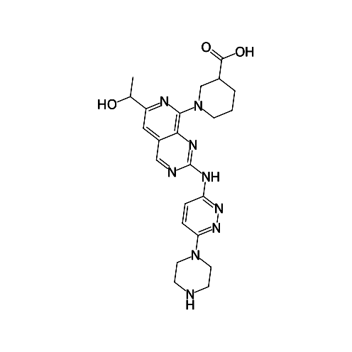 CC(O)c1cc2cnc(Nc3ccc(N4CCNCC4)nn3)nc2c(N2CCCC(C(=O)O)C2)n1